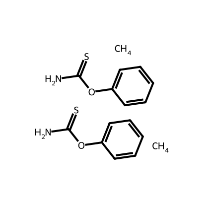 C.C.NC(=S)Oc1ccccc1.NC(=S)Oc1ccccc1